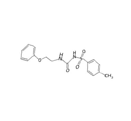 Cc1ccc(S(=O)(=O)NC(=O)NCCOc2ccccc2)cc1